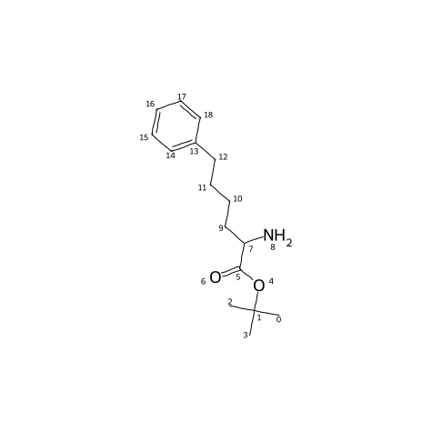 CC(C)(C)OC(=O)C(N)CCCCc1ccccc1